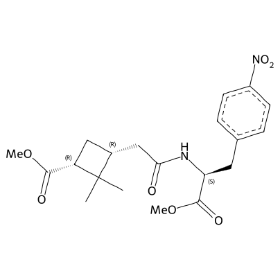 COC(=O)[C@H](Cc1ccc([N+](=O)[O-])cc1)NC(=O)C[C@H]1C[C@@H](C(=O)OC)C1(C)C